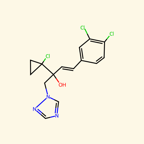 OC(C=Cc1ccc(Cl)c(Cl)c1)(Cn1cncn1)C1(Cl)CC1